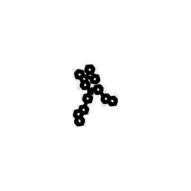 c1ccc(C2(c3ccccc3)c3ccccc3-c3ccc(N(c4ccc(-c5ccc6c(ccc7ccccc76)c5)cc4)c4cccc(-c5ccc6ccccc6c5)c4)cc32)cc1